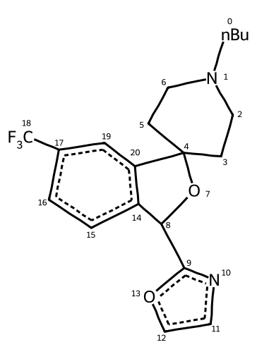 CCCCN1CCC2(CC1)OC(c1ncco1)c1ccc(C(F)(F)F)cc12